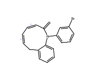 C=C1/C=C\C=C/Cc2ccccc2N1c1cccc(Br)c1